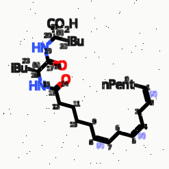 CCCCC/C=C\C/C=C\C/C=C\CCCCC(=O)N[C@H](C(=O)N[C@H](C(=O)O)C(C)CC)C(C)CC